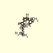 COc1c(F)cc(F)cc1-c1c[nH]c2ncc(-c3cc(F)cc(NC(=O)C=CCN(C)C)c3C)cc12